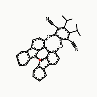 CC(C)c1c(C(C)C)c(C#N)c2oc3ccc4c5ccccc5n(C)c4c3c3c(ccc4c5ccccc5n(C)c43)oc2c1C#N